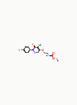 CCOC(=O)NCCOc1cnn(-c2ccc(Cl)cc2)c(=O)c1Cl